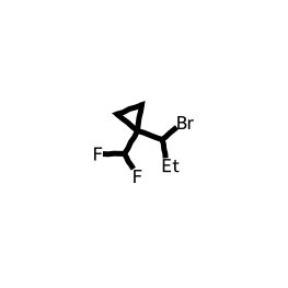 [CH2]CC(Br)C1(C(F)F)CC1